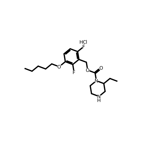 CCCCCOc1ccc(F)c(COC(=O)N2CCNCC2CC)c1F.Cl